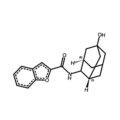 O=C(NC1[C@@H]2CC3C[C@H]1CC(O)(C3)C2)c1cc2ccccc2o1